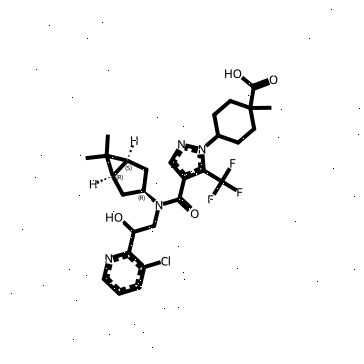 CC1(C(=O)O)CCC(n2ncc(C(=O)N(CC(O)c3ncccc3Cl)[C@H]3C[C@@H]4[C@H](C3)C4(C)C)c2C(F)(F)F)CC1